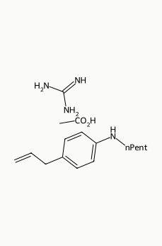 C=CCc1ccc(NCCCCC)cc1.CC(=O)O.N=C(N)N